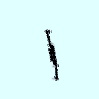 O=C(NCCOCCOCCCS(=O)(=O)O)c1ccc2c(c1)nc1c3ccc4c5ccc6c7c(ccc(c8ccc(c(=O)n21)c3c84)c57)c(=O)n1c2cc(C(=O)NCCOCCOCCCS(=O)(=O)O)ccc2nc61